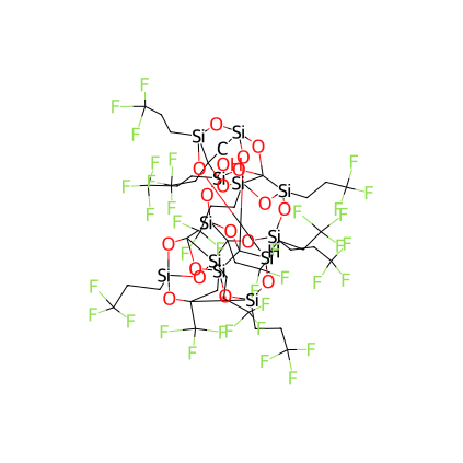 O[Si]1(CCC(F)(F)F)OC23O[Si]45CC6(CC(F)(F)F)O[Si]2(CCC(F)(F)F)O[Si]3(CCC(F)(F)F)O[SiH](CCC(F)(F)F)OC2(CC(F)(F)F)[Si]3(CCC(F)(F)F)O[Si]7(CCC(F)(F)F)OC8(C(F)(F)F)C[Si]9%10OC3(O7)[Si]2(OC9(O4)[Si](CCC(F)(F)F)(O[Si]6(CCC(F)(F)F)O5)O[Si]8(CCC(F)(F)F)O%10)O1